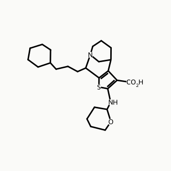 O=C(O)c1c(NC2CCCCO2)sc2c1C1CCCN(C1)C2CCCC1CCCCC1